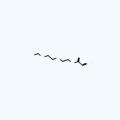 [CH2]COCCOCCOC(=O)C=C